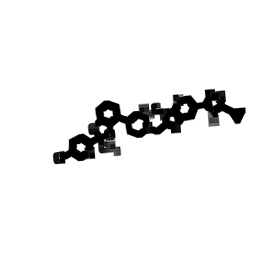 Cn1c(CN2CC=C(c3cccc4c3OC(C)(c3ccc(Cl)cn3)O4)CC2)nc2cc(-c3nnc(C4CC4)[nH]3)cnc21